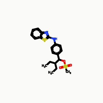 CCC(CC)C(OS(C)(=O)=O)c1ccc(Nc2nc3ccccc3s2)cc1